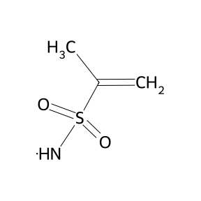 C=C(C)S([NH])(=O)=O